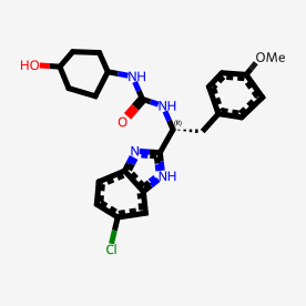 COc1ccc(C[C@@H](NC(=O)NC2CCC(O)CC2)c2nc3ccc(Cl)cc3[nH]2)cc1